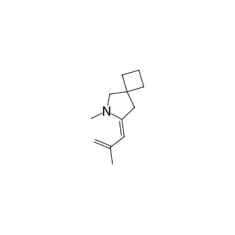 C=C(C)/C=C1/CC2(CCC2)CN1C